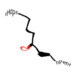 CCCCCC#CC(=O)CCCCCCCCCC